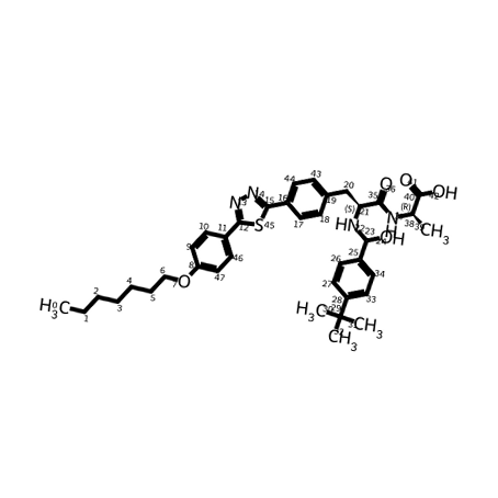 CCCCCCCOc1ccc(-c2nnc(-c3ccc(C[C@H](NC(O)c4ccc(C(C)(C)C)cc4)C(=O)N[C@H](C)C(=O)O)cc3)s2)cc1